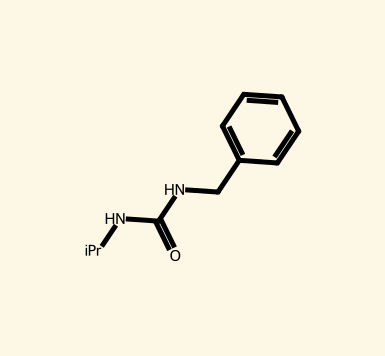 CC(C)NC(=O)NCc1ccccc1